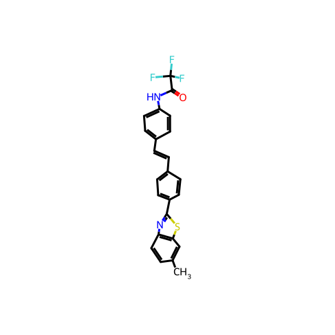 Cc1ccc2nc(-c3ccc(/C=C/c4ccc(NC(=O)C(F)(F)F)cc4)cc3)sc2c1